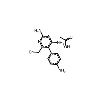 CC(=O)O.Nc1ccc(-c2c(N)nc(N)nc2CBr)cc1